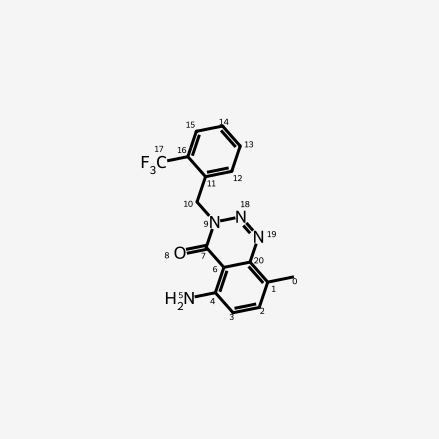 Cc1ccc(N)c2c(=O)n(Cc3ccccc3C(F)(F)F)nnc12